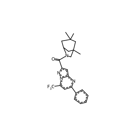 CC1(C)CC2CC(C)(CN2C(=O)c2cc3nc(-c4ccccc4)cc(C(F)(F)F)n3n2)C1